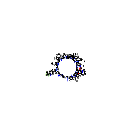 CC[C@H](C)[C@H]1CN[C@@H](CC(C)C)C(C)NCC2[C@@H](C(=O)N3CCCCC3)C(C)N2[C@@H](C2CCCC2)C(C)NC2(CCCC2)CNCCNC=CC(CCc2ccc(C(F)(F)F)nc2)=NC=CN(C)C=C(CC2CCCCC2)N(C)C=C2CCCN2[C@@H](C)C(C)N1